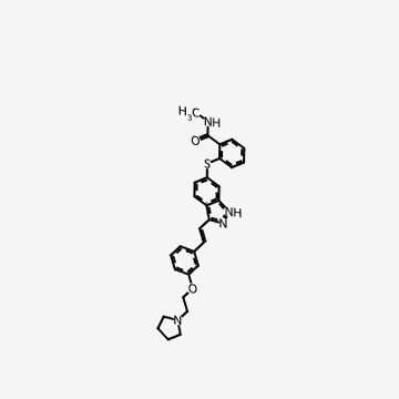 CNC(=O)c1ccccc1Sc1ccc2c(/C=C/c3cccc(OCCN4CCCC4)c3)n[nH]c2c1